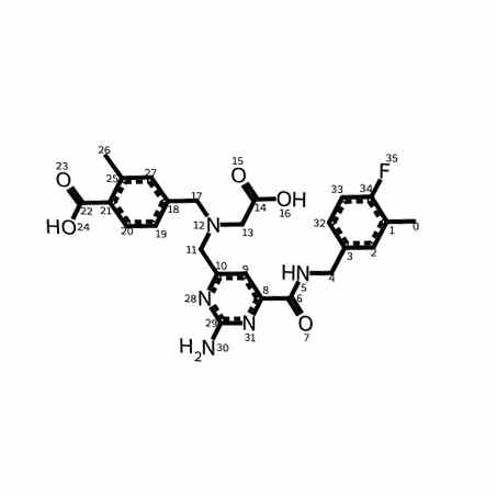 Cc1cc(CNC(=O)c2cc(CN(CC(=O)O)Cc3ccc(C(=O)O)c(C)c3)nc(N)n2)ccc1F